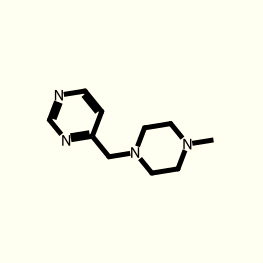 CN1CCN(Cc2ccncn2)CC1